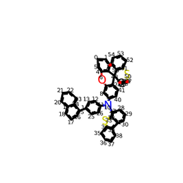 c1ccc2c(c1)Oc1cc(N(c3ccc(-c4cccc5ccccc45)cc3)c3cccc4c3sc3ccccc34)ccc1C21c2ccccc2Sc2ccccc21